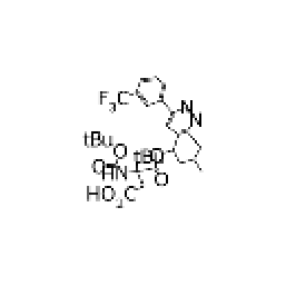 CC1Cc2nnc(-c3cccc(C(F)(F)F)c3)cc2C(OC(=O)C(CC(=O)O)(NC(=O)OC(C)(C)C)C(C)(C)C)C1